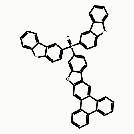 O=P(c1ccc2c(c1)oc1cc3c4ccccc4c4ccccc4c3cc12)(c1ccc2oc3ccccc3c2c1)c1ccc2oc3ccccc3c2c1